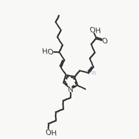 CCCCCC(O)C=Cc1cn(CCCCCCO)c(C)c1C/C=C\CCCC(=O)O